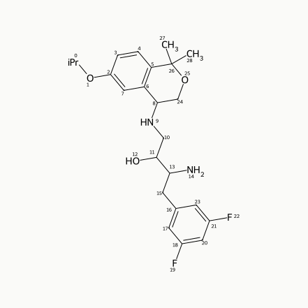 CC(C)Oc1ccc2c(c1)C(NCC(O)C(N)Cc1cc(F)cc(F)c1)COC2(C)C